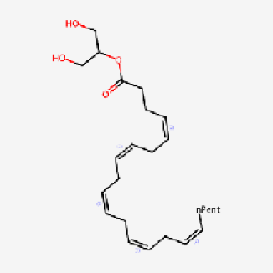 CCCCC/C=C\C/C=C\C/C=C\C/C=C\C/C=C\CCC(=O)OC(CO)CO